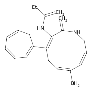 BC1=C/C/C(C2=CC=CC=CC2)=C(/NC(=C)CC)C(=C)NC/C=C\1